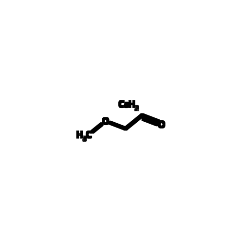 COCC=O.[CaH2]